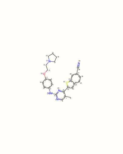 Cc1cnc(Nc2ccc(OCCN3CCCC3)cc2)nc1-c1cc2ccc(C#N)cc2s1